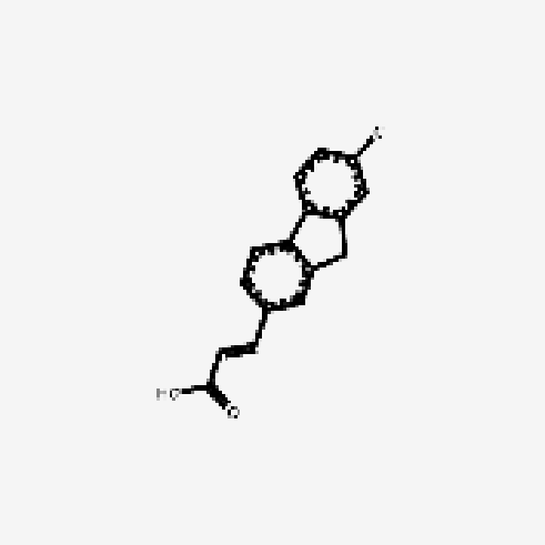 O=C(O)/C=C/c1ccc2c(c1)Cc1cc(Cl)ccc1-2